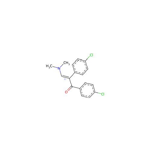 CN(C)/C=C(/C(=O)c1ccc(Cl)cc1)c1ccc(Cl)cc1